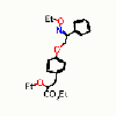 CCON=C(COc1ccc(CC(OCC)C(=O)OCC)cc1)c1ccccc1